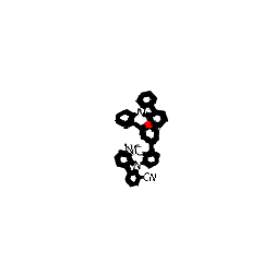 N#Cc1c(-c2cccc(-c3ccccc3-n3c4ccccc4c4ccccc43)c2)cccc1-n1c2ccccc2c2cccc(C#N)c21